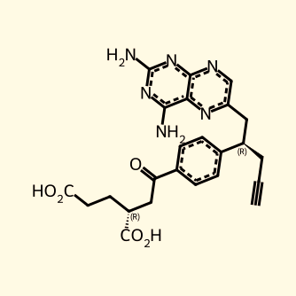 C#CC[C@H](Cc1cnc2nc(N)nc(N)c2n1)c1ccc(C(=O)C[C@@H](CCC(=O)O)C(=O)O)cc1